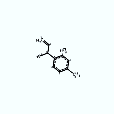 C=C[CH]([Al])c1ccc(C)cc1.Cl